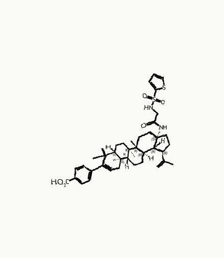 C=C(C)[C@@H]1CC[C@]2(NC(=O)CNS(=O)(=O)c3cccs3)CC[C@]3(C)[C@H](CC[C@@H]4[C@@]5(C)CC=C(c6ccc(C(=O)O)cc6)C(C)(C)[C@@H]5CC[C@]43C)[C@@H]12